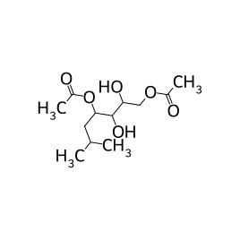 CC(=O)OCC(O)C(O)C(CC(C)C)OC(C)=O